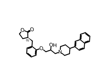 O=C1OCC[C@@H]1Cc1ccccc1OCC(O)CN1CCC(c2ccc3ccccc3c2)CC1